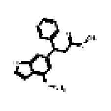 CNC(=O)CC(c1ccccc1)c1cc(OC)c2cc[nH]c2c1